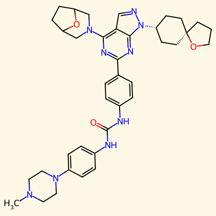 CN1CCN(c2ccc(NC(=O)Nc3ccc(-c4nc(N5CC6CCC(C5)O6)c5cnn([C@H]6CC[C@@]7(CCCO7)CC6)c5n4)cc3)cc2)CC1